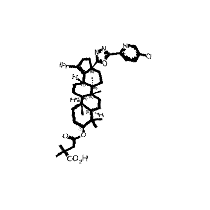 CC(C)C1=C2[C@H]3CC[C@@H]4[C@@]5(C)CC[C@H](OC(=O)CC(C)(C)C(=O)O)C(C)(C)[C@@H]5CC[C@@]4(C)[C@]3(C)CC[C@@]2(c2nnc(-c3ccc(Cl)cn3)o2)CC1